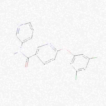 CN(C(=O)c1ccc(Oc2cc(Cl)cc(Cl)c2)nc1)c1cccnc1